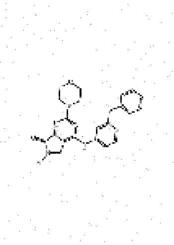 CC(C)N1Cc2c(Nc3cccc(Cc4ccccc4)c3)nc(N3CCOCC3)nc2C1=O